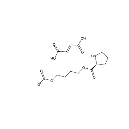 O=C(O)C=CC(=O)O.O=C(OCCCCO[N+](=O)[O-])[C@@H]1CCCN1